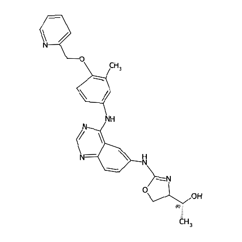 Cc1cc(Nc2ncnc3ccc(NC4=NC([C@@H](C)O)CO4)cc23)ccc1OCc1ccccn1